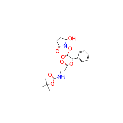 CC(C)(C)OC(=O)NCCC(=O)O[C@H](C(=O)ON1C(=O)CCC1O)c1ccccc1